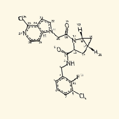 O=C(NCc1cccc(Cl)c1F)[C@@H]1C[C@H]2C[C@H]2N1C(=O)Cn1ccc2c(Cl)nccc21